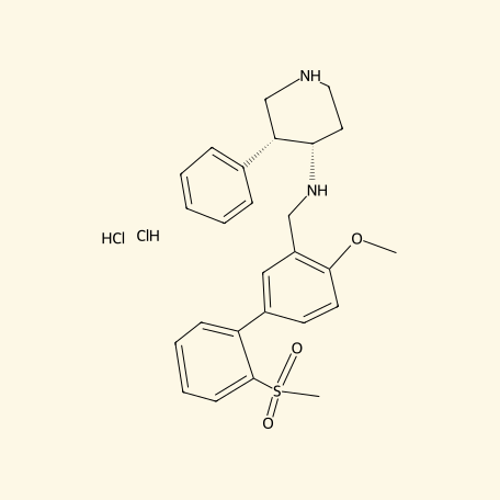 COc1ccc(-c2ccccc2S(C)(=O)=O)cc1CN[C@H]1CCNC[C@H]1c1ccccc1.Cl.Cl